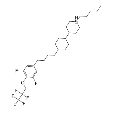 CCCCC[SiH]1CCC(C2CCC(CCCCc3cc(F)c(OCC(F)(F)C(F)(F)F)c(F)c3)CC2)CC1